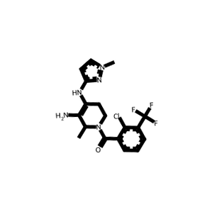 CC1C(N)=C(Nc2ccn(C)n2)CCN1C(=O)c1cccc(C(F)(F)F)c1Cl